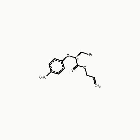 C=CCOC(=O)[C@H](CC(C)C)Oc1ccc(C=O)cc1